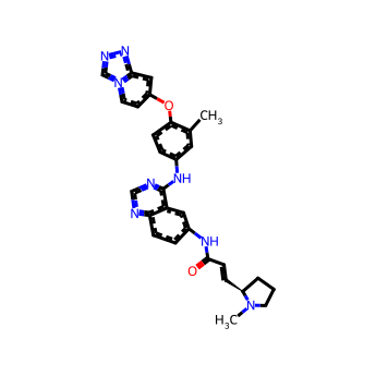 Cc1cc(Nc2ncnc3ccc(NC(=O)/C=C/[C@H]4CCCN4C)cc23)ccc1Oc1ccn2cnnc2c1